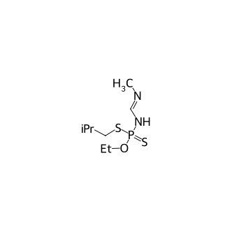 CCOP(=S)(N/C=N/C)SCC(C)C